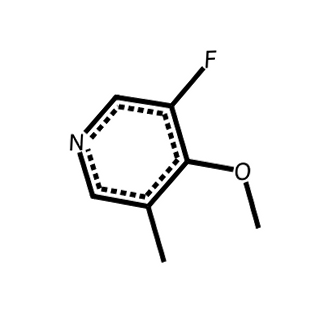 COc1c(C)cncc1F